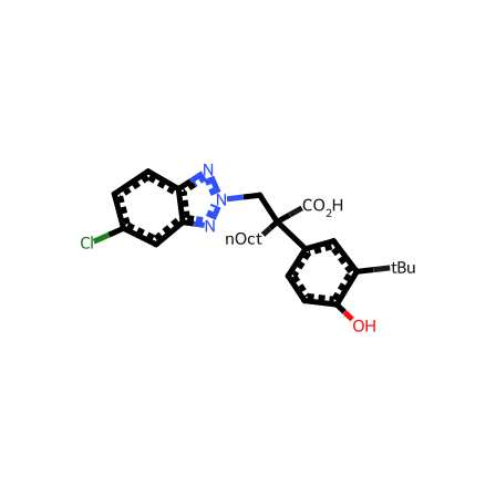 CCCCCCCCC(Cn1nc2ccc(Cl)cc2n1)(C(=O)O)c1ccc(O)c(C(C)(C)C)c1